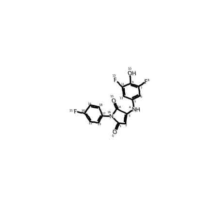 O=C1C=C(Nc2cc(F)c(O)c(F)c2)C(=O)N1c1ccc(F)cc1